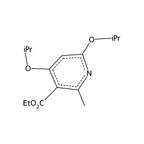 CCOC(=O)c1c(OC(C)C)cc(OC(C)C)nc1C